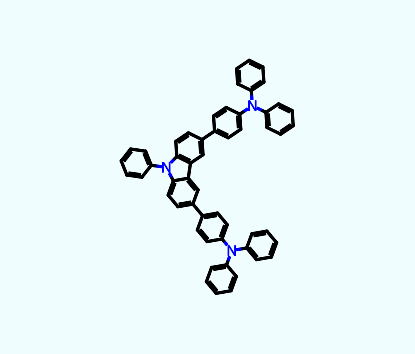 c1ccc(N(c2ccccc2)c2ccc(-c3ccc4c(c3)c3cc(-c5ccc(N(c6ccccc6)c6ccccc6)cc5)ccc3n4-c3ccccc3)cc2)cc1